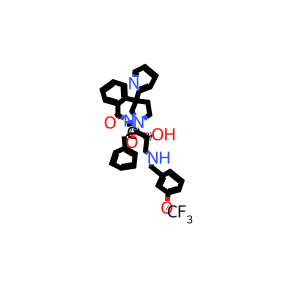 O=C=NC(=O)c1ccccc1C1(c2ccccn2)CCN([C@@H](Cc2ccccc2)[C@H](O)CNCc2cccc(OC(F)(F)F)c2)C1